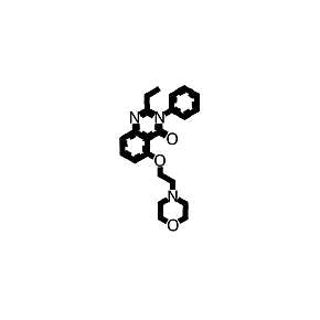 CCc1nc2cccc(OCCN3CCOCC3)c2c(=O)n1-c1ccccc1